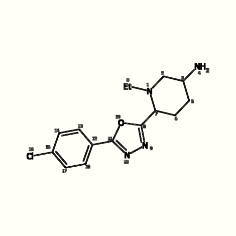 CCN1CC(N)CCC1c1nnc(-c2ccc(Cl)cc2)o1